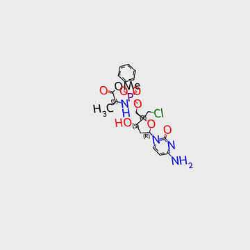 COC(=O)[C@H](C)NP(=O)(OC[C@@]1(CCl)O[C@@H](n2ccc(N)nc2=O)C[C@@H]1O)Oc1ccccc1